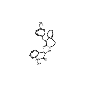 Cc1ccc(CN2C(=O)[C@@H](NC(Cc3ccccc3)C(=O)NO)CCc3ccccc32)cc1